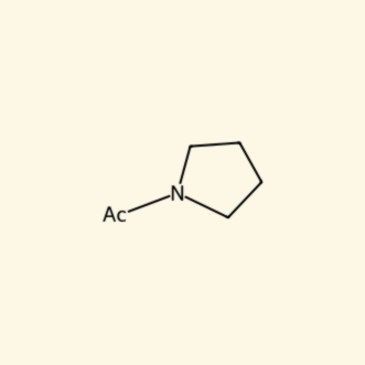 [CH2]C(=O)N1CCCC1